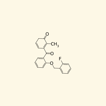 CC1=C(C(=O)c2ccccc2OCc2ccccc2F)C=CCC1=O